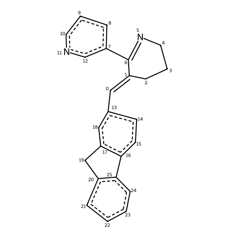 C(=C1CCCN=C1c1cccnc1)c1ccc2c(c1)Cc1ccccc1-2